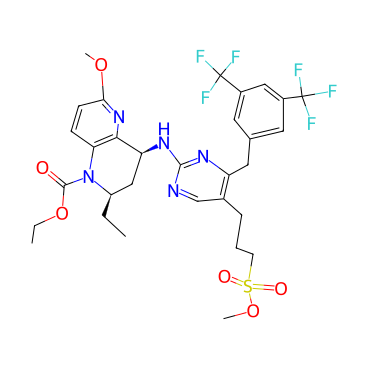 CCOC(=O)N1c2ccc(OC)nc2[C@@H](Nc2ncc(CCCS(=O)(=O)OC)c(Cc3cc(C(F)(F)F)cc(C(F)(F)F)c3)n2)C[C@H]1CC